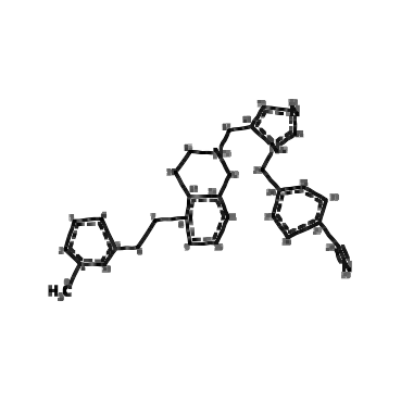 Cc1cccc(CCc2cccc3c2CCN(Cc2cncn2Cc2ccc(C#N)cc2)C3)c1